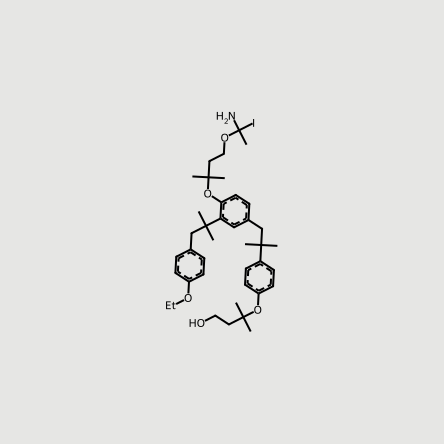 CCOc1ccc(CC(C)(C)c2cc(CC(C)(C)c3ccc(OC(C)(C)CCO)cc3)ccc2OC(C)(C)CCOC(C)(N)I)cc1